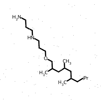 CC(C)CC(C)CC(C)CC(C)COCCCNCCCN